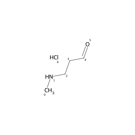 CNCCC=O.Cl